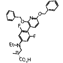 CCN(C[C@@H](C)C(=O)O)c1cc(F)c(-c2ccc(OCc3ccccc3)nc2OCc2ccccc2)c(F)c1